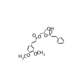 COc1ccc(C=CC(=O)OCC(CO)OC(=O)C=Cc2ccccc2)cc1OC